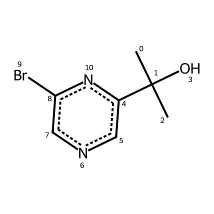 CC(C)(O)c1cncc(Br)n1